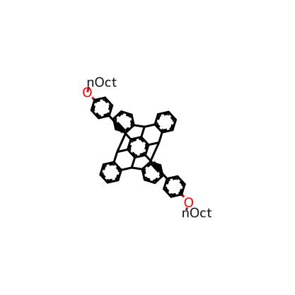 CCCCCCCCOc1ccc(C#Cc2c3c4c(C#Cc5ccc(OCCCCCCCC)cc5)c5c2C2c6ccccc6C5c5ccccc5C4c4ccccc4C3c3ccccc32)cc1